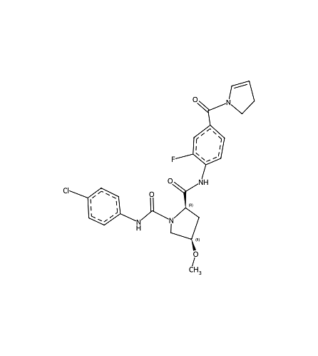 CO[C@@H]1C[C@H](C(=O)Nc2ccc(C(=O)N3C=CCC3)cc2F)N(C(=O)Nc2ccc(Cl)cc2)C1